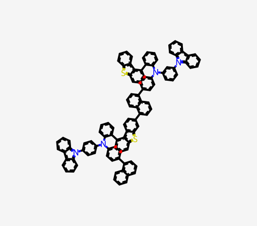 c1cc(N(c2ccc(-c3cccc4c(-c5ccc6c(c5)sc5cccc(-c7ccccc7N(c7ccc(-c8cccc9ccccc89)cc7)c7ccc(-n8c9ccccc9c9ccccc98)cc7)c56)cccc34)cc2)c2ccccc2-c2cccc3sc4ccccc4c23)cc(-n2c3ccccc3c3ccccc32)c1